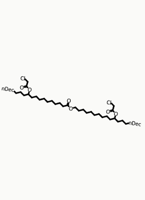 CCCCCCCCCCCCCC(CCCCCCCCCCOC(=O)CCCCCCCCCC(CCCCCCCCCCCCC)OC(=O)CCl)OC(=O)CCl